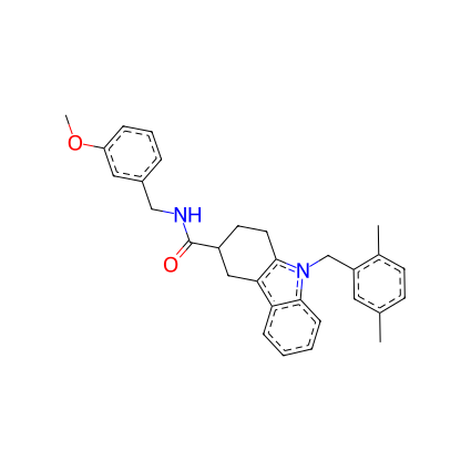 COc1cccc(CNC(=O)C2CCc3c(c4ccccc4n3Cc3cc(C)ccc3C)C2)c1